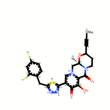 COC#CC1CCN2C(=O)c3c(O)c(=O)c(-c4nnc(Cc5ccc(F)cc5F)s4)cn3C[C@H]2O1